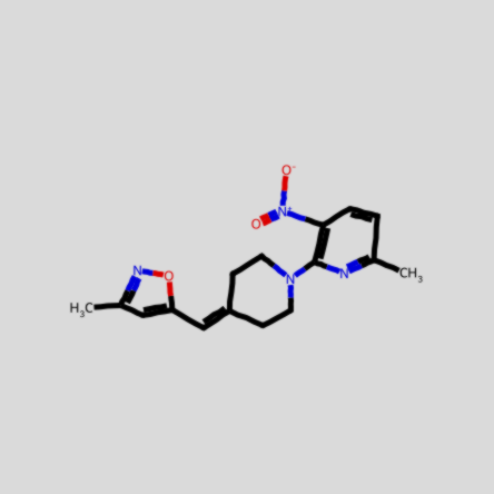 Cc1cc(C=C2CCN(c3nc(C)ccc3[N+](=O)[O-])CC2)on1